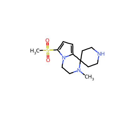 CN1CCn2c(ccc2S(C)(=O)=O)C12CCNCC2